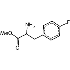 COC(=O)C(N)Cc1ccc(F)cc1